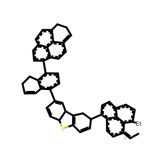 C/C=c1/ccc2c(C3C=CC4=C(C3)C3C=C(c5ccc(-c6ccc7ccc8c9c(ccc6c79)=CCC8)c6c5C=CCC6)C=CC3S4)ccc3ccc(CC)c1c32